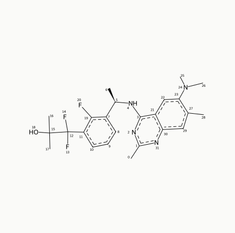 Cc1nc(N[C@H](C)c2cccc(C(F)(F)C(C)(C)O)c2F)c2cc(N(C)C)c(C)cc2n1